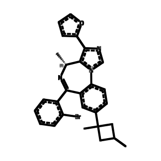 CC1CC(C)(c2ccc3c(c2)C(c2ccccc2Br)=N[C@H](C)c2c(-c4ccco4)ncn2-3)C1